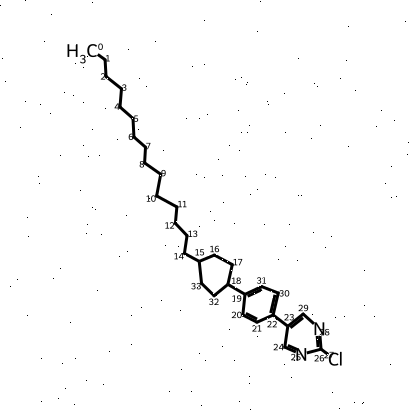 CCCCCCCCCCCCCCCC1CCC(c2ccc(-c3cnc(Cl)nc3)cc2)CC1